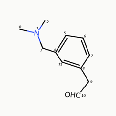 CN(C)Cc1cccc(CC=O)c1